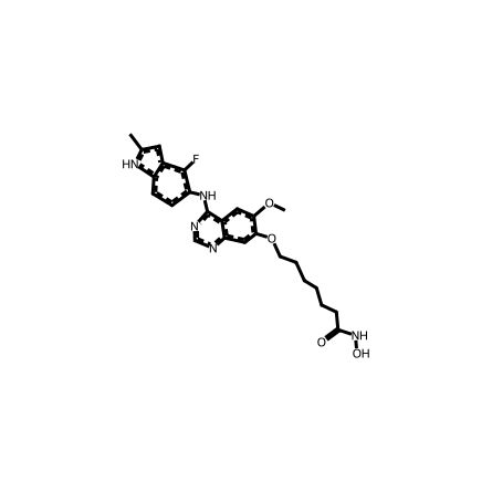 COc1cc2c(Nc3ccc4[nH]c(C)cc4c3F)ncnc2cc1OCCCCCCC(=O)NO